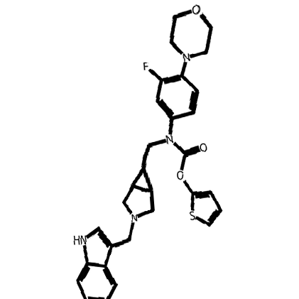 O=C(Oc1cccs1)N(CC1C2CN(Cc3c[nH]c4ccccc34)CC21)c1ccc(N2CCOCC2)c(F)c1